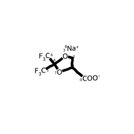 O=C([O-])C1COC(C(F)(F)F)(C(F)(F)F)O1.[Na+]